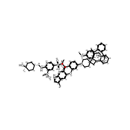 CCOc1nc2[nH]cc(F)c2cc1Oc1cc(N2CCC3(CC2)CC(N2C4CCC([C@H]2c2ccccc2C(C)C)N(Cc2ccc(OC)cc2)C4)C3)ccc1C(=O)NS(=O)(=O)c1cnc(NC[C@H]2CC[C@](C)(O)CC2)c([NH+](C)[O-])c1